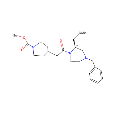 COC[C@H]1CN(Cc2ccccc2)CCN1C(=O)CC1CCN(C(=O)OC(C)(C)C)CC1